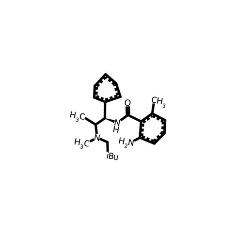 CCC(C)CN(C)C(C)[C@H](NC(=O)c1c(C)cccc1N)c1ccccc1